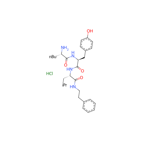 CCCC[C@H](N)C(=O)N[C@@H](Cc1ccc(O)cc1)C(=O)N[C@@H](CC(C)C)C(=O)NCCc1ccccc1.Cl